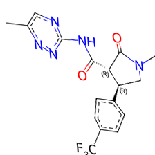 Cc1cnc(NC(=O)[C@@H]2C(=O)N(C)C[C@H]2c2ccc(C(F)(F)F)cc2)nn1